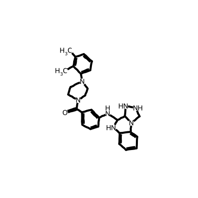 Cc1cccc(N2CCN(C(=O)c3cccc(NC4Nc5ccccc5N5CNNC45)c3)CC2)c1C